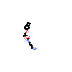 CC(C)(COc1ccc2c(c1)CC2)OC(=O)NC/C=C/CN